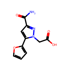 NC(=O)c1cc(-c2ccco2)n(CC(=O)O)n1